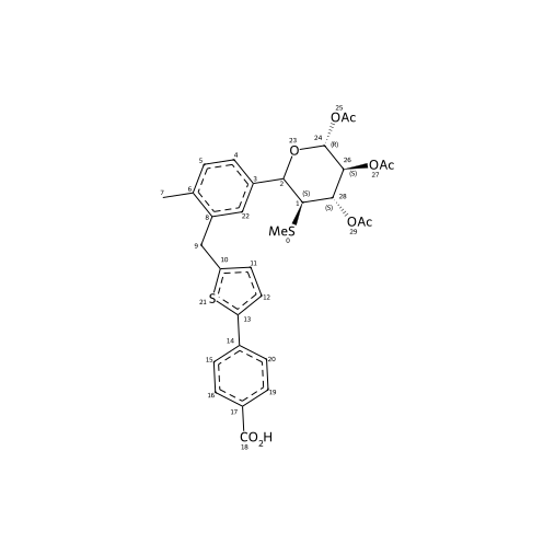 CS[C@H]1C(c2ccc(C)c(Cc3ccc(-c4ccc(C(=O)O)cc4)s3)c2)O[C@H](OC(C)=O)[C@@H](OC(C)=O)[C@@H]1OC(C)=O